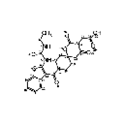 CCNC(=O)Nc1sc2ccccc2c1C(=O)N1CCC2(CC1)CC(=O)N(CC(=O)O)C(=O)O2